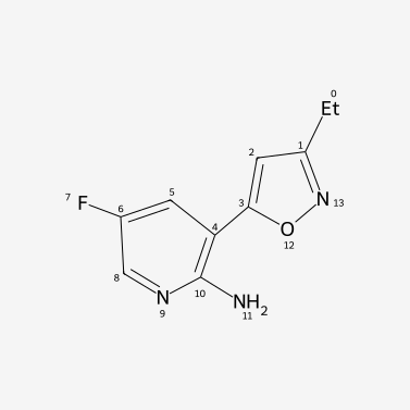 CCc1cc(-c2cc(F)cnc2N)on1